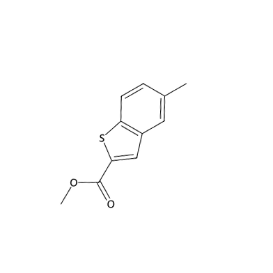 COC(=O)c1cc2cc(C)ccc2s1